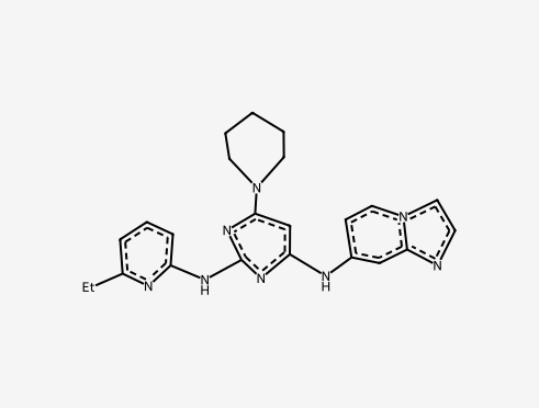 CCc1cccc(Nc2nc(Nc3ccn4ccnc4c3)cc(N3CCCCC3)n2)n1